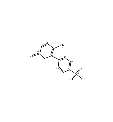 CS(=O)(=O)c1ccc(C2=C(C#N)C=CC(=S)C2)cc1